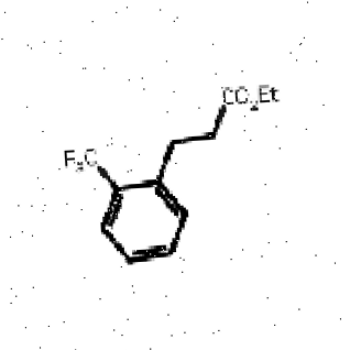 CCOC(=O)CCc1ccccc1C(F)(F)F